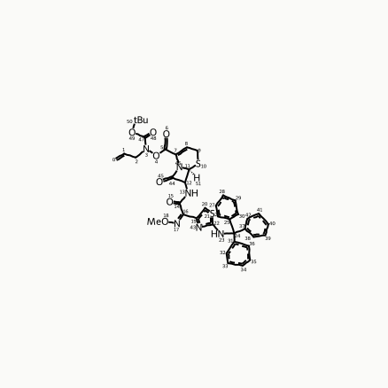 C=CCN(OC(=O)C1=CCS[C@H]2C(NC(=O)/C(=N\OC)c3csc(NC(c4ccccc4)(c4ccccc4)c4ccccc4)n3)C(=O)N12)C(=O)OC(C)(C)C